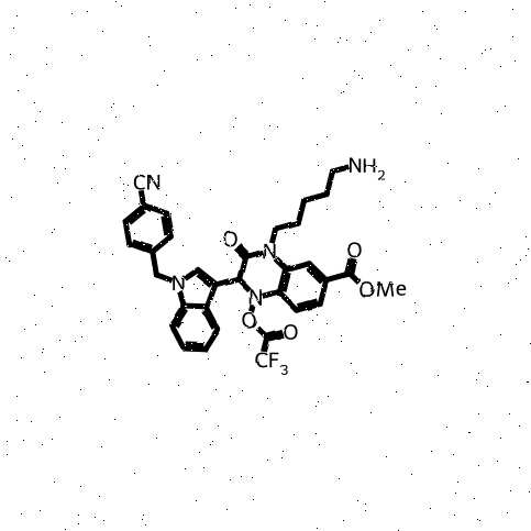 COC(=O)c1ccc2c(c1)N(CCCCCN)C(=O)C(c1cn(Cc3ccc(C#N)cc3)c3ccccc13)N2OC(=O)C(F)(F)F